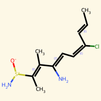 C/C=C/C(Cl)=C\C=C(N)\C(C)=C(/C)[S+](N)[O-]